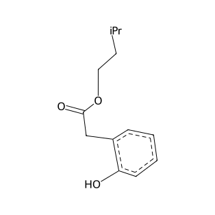 CC(C)CCOC(=O)Cc1ccccc1O